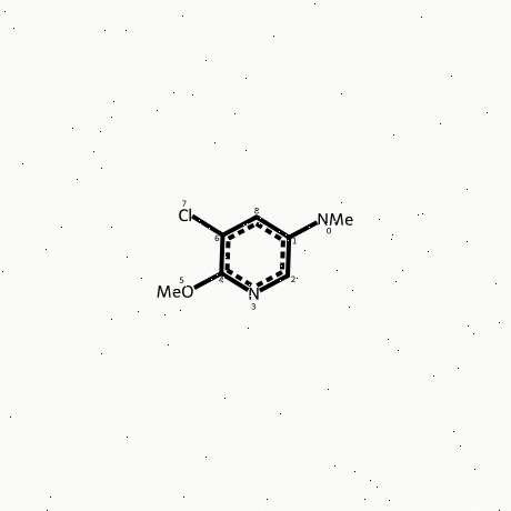 CNc1cnc(OC)c(Cl)c1